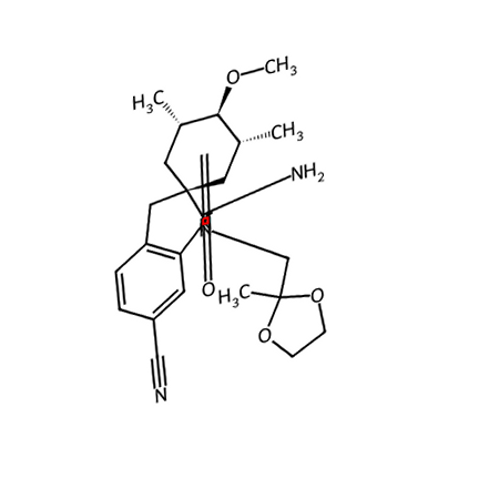 CO[C@H]1[C@H](C)C[C@@]2(Cc3ccc(C#N)cc3[C@]23N=C(N)N(CC2(C)OCCO2)C3=O)C[C@@H]1C